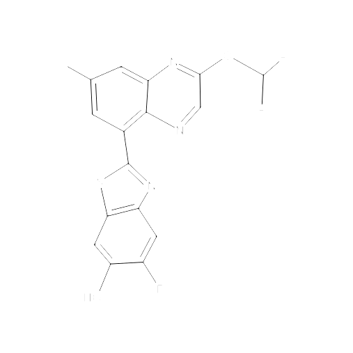 Cc1cc(-c2nc3cc(F)c(O)cc3s2)c2ncc(OC(F)F)nc2c1